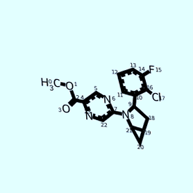 COC(=O)c1cnc(N2C(c3cccc(F)c3Cl)CC3CC32)cn1